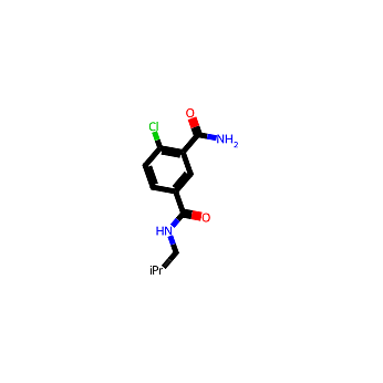 CC(C)CNC(=O)c1ccc(Cl)c(C(N)=O)c1